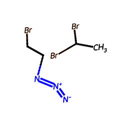 CC(Br)Br.[N-]=[N+]=NCCBr